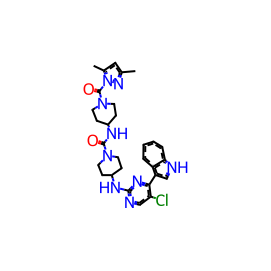 Cc1cc(C)n(C(=O)N2CCC(NC(=O)N3CCC(Nc4ncc(Cl)c(-c5c[nH]c6ccccc56)n4)CC3)CC2)n1